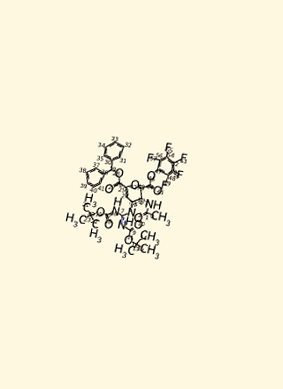 CC(=O)N[C@@H]1[C@@H](N/C(=N\C(=O)OC(C)(C)C)NC(=O)OC(C)(C)C)C=C(C(=O)OC(c2ccccc2)c2ccccc2)O[C@H]1C(=O)Oc1c(F)c(F)c(F)c(F)c1F